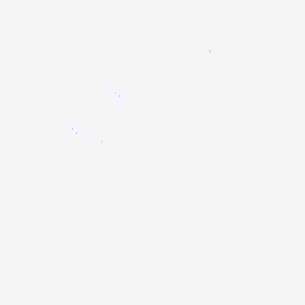 CN1CCNC(C2CC(c3ccc(F)cc3)c3ccc(Br)cc32)C1(C)C